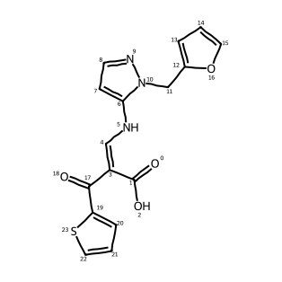 O=C(O)C(=CNc1ccnn1Cc1ccco1)C(=O)c1cccs1